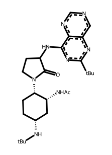 CC(=O)N[C@@H]1C[C@H](NC(C)(C)C)CC[C@@H]1N1CCC(Nc2nc(C(C)(C)C)nc3cncnc23)C1=O